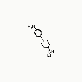 CCNC1CCN(c2ccc(N)cc2)CC1